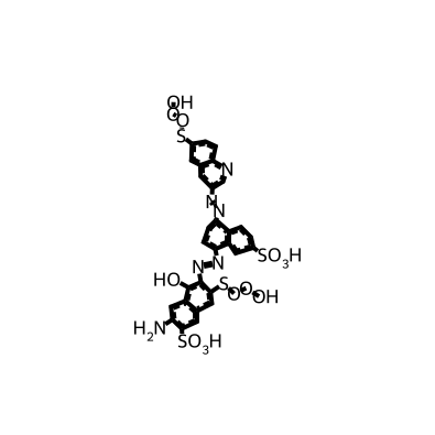 Nc1cc2c(O)c(/N=N/c3ccc(/N=N/c4cnc5ccc(SOOO)cc5c4)c4ccc(S(=O)(=O)O)cc34)c(SOOO)cc2cc1S(=O)(=O)O